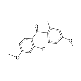 COc1ccc(C(=O)c2ccc(OC)cc2F)c(C)c1